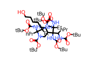 CCCC(NC(=O)OC(C)(C)C)C(NC(=O)OC(C)(C)C)(C(CCCCCCO)CN(C(=O)OC(C)(C)C)C(CCC)(NC(=O)OC(C)(C)C)C(C)(CC)NC(=O)OC(C)(C)C)C(C)(CC)NC(=O)OC(C)(C)C